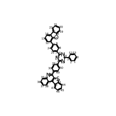 c1ccc(-c2nc(-c3ccc(-c4cccc5c4oc4ccccc45)cc3)nc(-c3ccc(-c4nc5ccccc5c5c4sc4ccccc45)cc3)n2)cc1